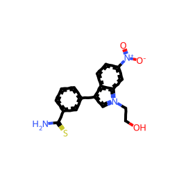 NC(=S)c1cccc(-c2cn(CCO)c3cc([N+](=O)[O-])ccc23)c1